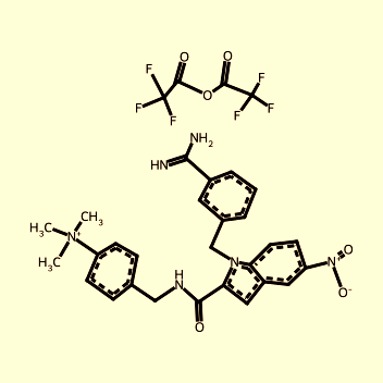 C[N+](C)(C)c1ccc(CNC(=O)c2cc3cc([N+](=O)[O-])ccc3n2Cc2cccc(C(=N)N)c2)cc1.O=C(OC(=O)C(F)(F)F)C(F)(F)F